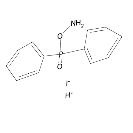 NOP(=O)(c1ccccc1)c1ccccc1.[H+].[I-]